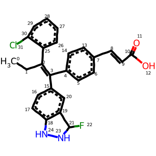 CC/C(=C(/c1ccc(/C=C/C(=O)O)cc1)c1ccc2c(c1)C(F)NN2)c1ccccc1Cl